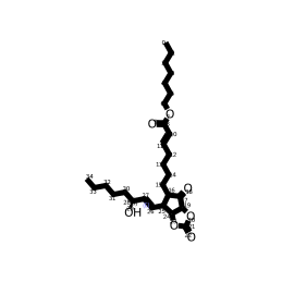 CCCCCCCOC(=O)C=CCCCCC1C(=O)C2OC(=O)OC2C1/C=C/[C@@H](O)CCCCC